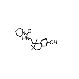 CC1(C)CCc2cc(O)ccc2C1(C)CCNC(=O)N1CCCCC1